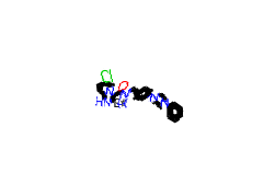 CCC1=C(C(=O)NCc2ccc(N3CCN(c4ccccc4)CC3)cc2)N2C=C(Cl)C=CC2=CN1